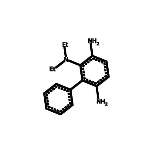 CCN(CC)c1c(N)ccc(N)c1-c1ccccc1